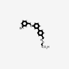 O=C(O)CO/N=C/c1ccc(-c2cccc(OCc3cccc(Br)c3)c2)cc1